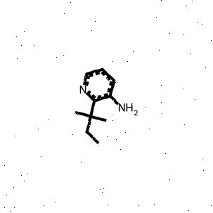 CCC(C)(C)c1ncccc1N